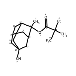 CCC(C)(C(=O)OC1(C)C2CC3CC1CC(C#N)(C3)C2)C(F)(F)F